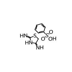 N=C1CSC(=N)N1.O=S(=O)(O)c1ccccc1